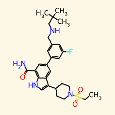 CCS(=O)(=O)N1CCC(c2c[nH]c3c(C(N)=O)cc(-c4cc(F)cc(CNCC(C)(C)C)c4)cc23)CC1